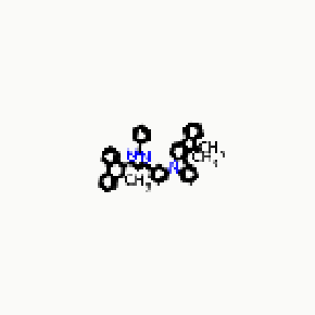 CC1c2ccccc2-c2ccccc2[C@H]1c1cc(C2=CC=CC(n3c4ccccc4c4c5c(ccc43)-c3ccccc3C5(C)C)C2)nc(-c2ccccc2)n1